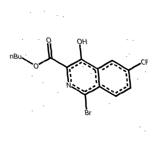 CCCCOC(=O)c1nc(Br)c2ccc(C(F)(F)F)cc2c1O